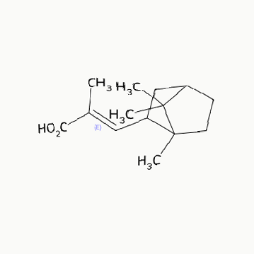 C/C(=C\C1CC2CCC1(C)C2(C)C)C(=O)O